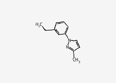 CCc1cccc(-n2ccc(C)n2)c1